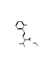 CCOC(=O)C(C=Cc1ccccc1Cl)C(C)C